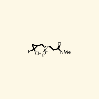 CNC(=O)CC[S+]([O-])CC1CC1(C)F